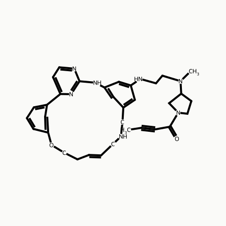 CC#CC(=O)N1CCC(N(C)CCNc2cc3cc(c2)Nc2nccc(n2)-c2cccc(c2)OCC/C=C/CNC3)C1